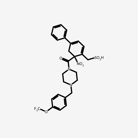 O=C(N1CCN(Cc2ccc(OC(F)(F)F)cc2)CC1)C1([N+](=O)[O-])CC(c2ccccc2)=CC=C1CS(=O)(=O)O